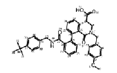 COc1ccc(CN(CCC(=O)O)C(=O)c2ccccc2-c2ccccc2C(=O)NCc2ccc(C(C)(C)C)cc2)cc1